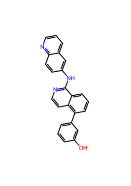 Oc1cccc(-c2cccc3c(Nc4ccc5ncccc5c4)nccc23)c1